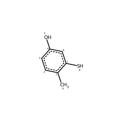 Cc1ccc(O)cc1S